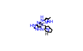 Cc1cc(Nc2nc(N[C@@H]3CCC4CC[C@@H](C3)N4CCC#N)c3nc[nH]c3n2)n[nH]1